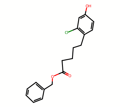 O=C(CCCCc1ccc(O)cc1Cl)OCc1ccccc1